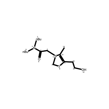 CCCCN(CCCC)C(=O)CN1CSC(CCO)=C1C